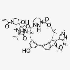 C=CC(=O)N1CCC(O)(C(=O)N(C)[C@H](C(=O)N[C@H]2Cc3cc(O)cc(c3)-c3ccc4c(c3)c(c(-c3cn(C)nc3[C@H](C)OC)n4CC)CC(C)(C)COC(=O)[C@@H]3CCCN(N3)C2=O)C(C)C)C1